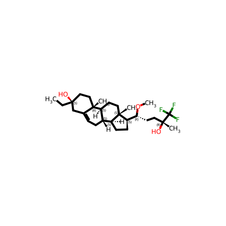 CC[C@]1(O)CC[C@@]2(C)C(=CC[C@H]3[C@@H]4CC[C@H]([C@@H](CC[C@@](C)(O)C(F)(F)F)OC)[C@@]4(C)CC[C@@H]32)C1